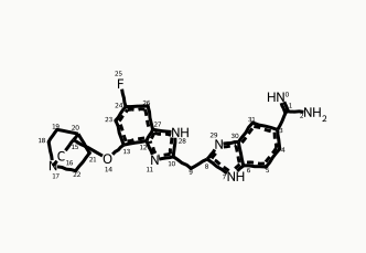 N=C(N)c1ccc2[nH]c(Cc3nc4c(OC5CN6CCC5CC6)cc(F)cc4[nH]3)nc2c1